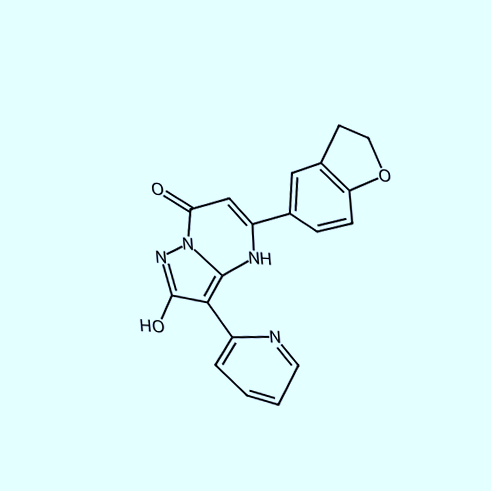 O=c1cc(-c2ccc3c(c2)CCO3)[nH]c2c(-c3ccccn3)c(O)nn12